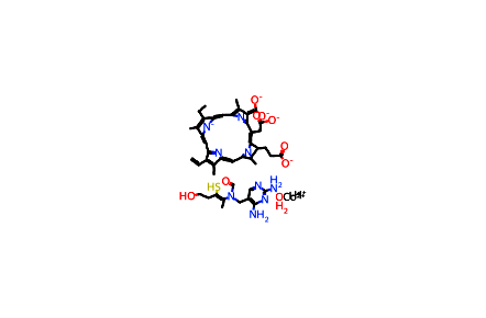 C/C(=C(/S)CCO)N(C=O)Cc1cnc(N)nc1N.C=CC1=C(C)C2=CC3=NC(=C(CC(=O)[O-])C4=NC(=C(C)C4=C([O-])[O-])C=c4[n-]c(c(C)c4CC)=CC1=N2)C(CCC(=O)[O-])C3C.O.[Co+2].[H+].[H+]